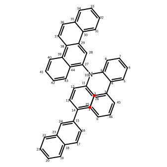 c1ccc(-c2ccccc2N(c2ccc(-c3ccc4ccccc4c3)cc2)c2cc3c4ccccc4ccc3c3ccccc23)cc1